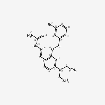 CCN(CC)c1ccc(C=NNC(N)=S)c(OCc2cccc(Br)c2)c1